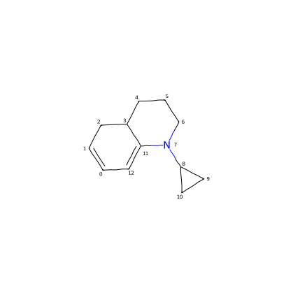 C1=CCC2CCCN(C3CC3)C2=C1